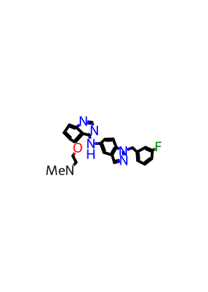 CNCCOc1cccc2ncnc(Nc3ccc4c(cnn4Cc4cccc(F)c4)c3)c12